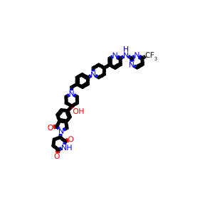 O=C1CCC(N2Cc3cc(C4(O)CCN(Cc5ccc(N6CCC(c7ccc(Nc8nccc(C(F)(F)F)n8)nc7)CC6)cc5)CC4)ccc3C2=O)C(=O)N1